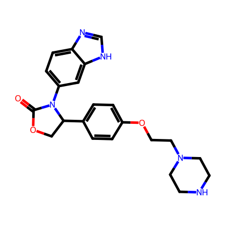 O=C1OCC(c2ccc(OCCN3CCNCC3)cc2)N1c1ccc2nc[nH]c2c1